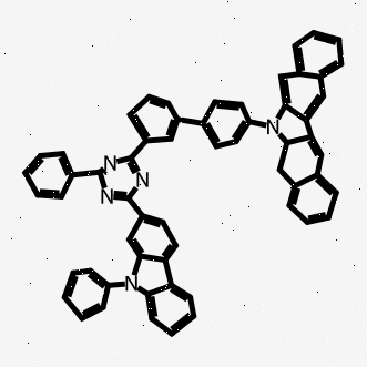 C1=C2c3cc4ccccc4cc3N(c3ccc(-c4cccc(-c5nc(-c6ccccc6)nc(-c6ccc7c8ccccc8n(-c8ccccc8)c7c6)n5)c4)cc3)C2Cc2ccccc21